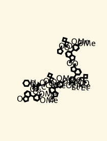 CCC(CC)OC(=O)C1(COc2c(-c3cccc4c3CCC4=O)ccc(OC)c2OC)CCC1.COc1ccc(-c2cccc3c2CCC3=O)c(OCC2(C(=O)OC(C)(C)C#N)CCC2)c1OC.COc1ccc(-c2cccc3c2CCC3=O)c(OCC2(C(=O)OC3CCCC3)CCC2)c1OC.COc1ccc(-c2cccc3c2CCC3=O)c(OCC2(C(=O)OC3CCCCC3)CC2)c1OC